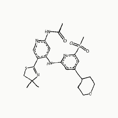 CC(=O)Nc1cc(Nc2cc(C3CCOCC3)cc(S(C)(=O)=O)n2)c(C2=NC(C)(C)CS2)cn1